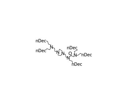 CCCCCCCCCCCCCN(CCCCCCCCCCCC)CCN1CCN(CCN(CCCCCCCCCCCC)C(=O)CN(CCCCCCCCCCCC)CCCCCCCCCCCC)CC1